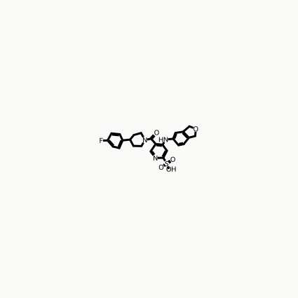 O=C(c1cnc(S(=O)(=O)O)cc1Nc1ccc2c(c1)COC2)N1CCC(c2ccc(F)cc2)CC1